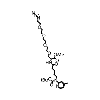 COC(=O)[C@H](COCCOCCOCCOCCN=[N+]=[N-])NC(=O)CCCCN(C(=O)OC(C)(C)C)c1cc(C)ccn1